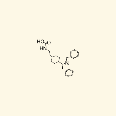 C[C@@H](C1CCC(CCNC(=O)O)CC1)N(Cc1ccccc1)Cc1ccccc1